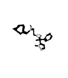 CN(CCOC(C)(c1ccccc1)c1ccnn1C)Cc1ccccc1